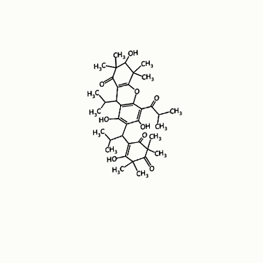 CC(C)C(=O)c1c(O)c(C(C2=C(O)C(C)(C)C(=O)C(C)(C)C2=O)C(C)C)c(O)c2c1OC1=C(C(=O)C(C)(C)C(O)C1(C)C)C2C(C)C